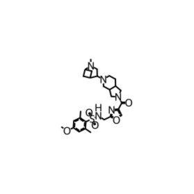 COc1cc(C)c(S(=O)(=O)NCc2nc(C(=O)N3CC4CCN(C5CN(C)C6CC5C6)CC4C3)co2)c(C)c1